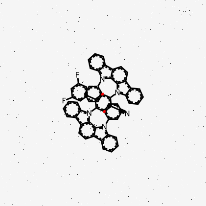 N#Cc1cc(-n2c3ccccc3c3ccc4c5ccccc5n(-c5ccccc5)c4c32)c(-c2cc(F)cc(F)c2)cc1-n1c2ccccc2c2ccc3c4ccccc4n(-c4ccccc4)c3c21